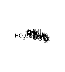 O=C(O)c1cccc(-n2ncc3c2COC[C@@H]3NC(=O)c2ncn3c2CCCC3)c1Cl